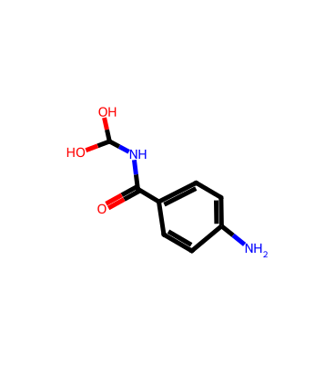 Nc1ccc(C(=O)NC(O)O)cc1